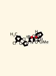 COC(=O)[C@@H]1[C@@H](c2ccc(N3CC[C@@H](Oc4c(Cl)cc(C)cc4Cl)C3)nc2)C[C@H]2CC[C@@H]1N2C(=O)OC(C)(C)C